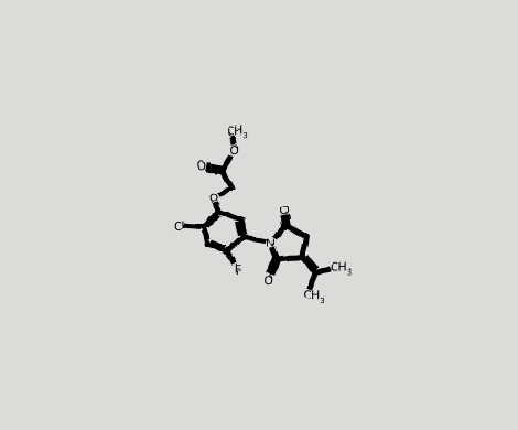 COC(=O)COc1cc(N2C(=O)CC(=C(C)C)C2=O)c(F)cc1Cl